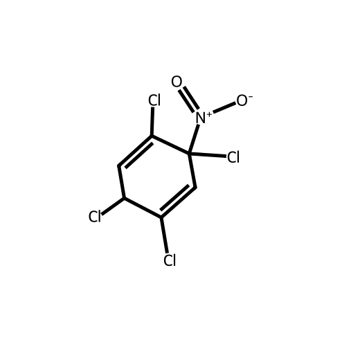 O=[N+]([O-])C1(Cl)C=C(Cl)C(Cl)C=C1Cl